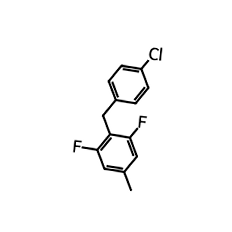 Cc1cc(F)c(Cc2ccc(Cl)cc2)c(F)c1